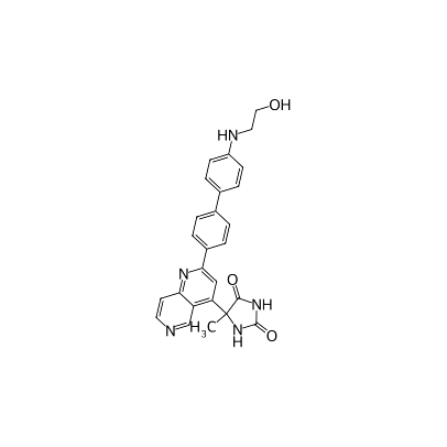 CC1(c2cc(-c3ccc(-c4ccc(NCCO)cc4)cc3)nc3ccncc23)NC(=O)NC1=O